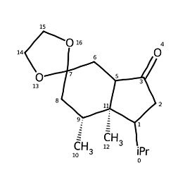 CC(C)C1CC(=O)C2CC3(C[C@@H](C)[C@@]21C)OCCO3